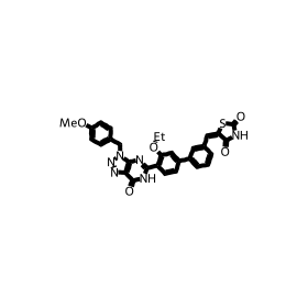 CCOc1cc(-c2cccc(C=C3SC(=O)NC3=O)c2)ccc1-c1nc2c(nnn2Cc2ccc(OC)cc2)c(=O)[nH]1